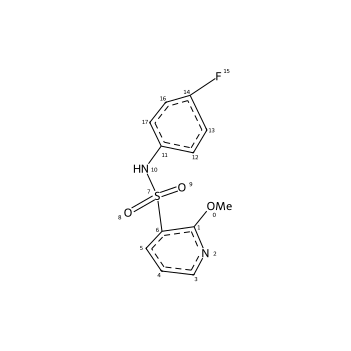 COc1ncccc1S(=O)(=O)Nc1ccc(F)cc1